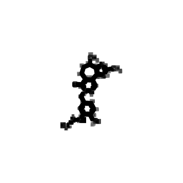 C=NNc1cc(Cn2ncc3c(c2=O)CCC(C)c2nc(C)sc2-3)ccc1C(C)CC